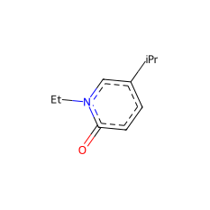 CCn1cc(C(C)C)ccc1=O